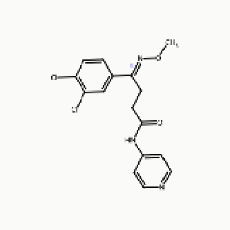 CO/N=C(\CCC(=O)Nc1ccncc1)c1ccc(Cl)c(Cl)c1